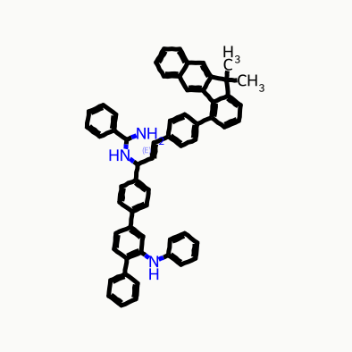 CC1(C)c2cc3ccccc3cc2-c2c(-c3ccc(/C=C/C(NC(N)c4ccccc4)c4ccc(-c5ccc(-c6ccccc6)c(Nc6ccccc6)c5)cc4)cc3)cccc21